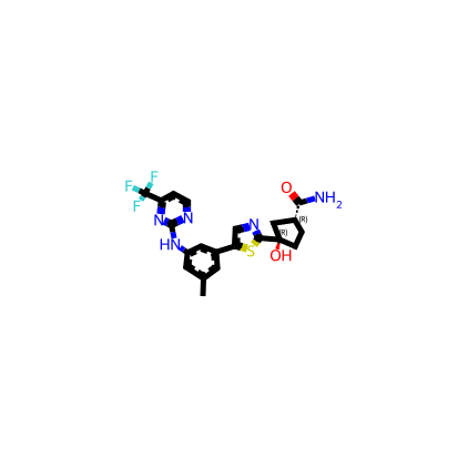 Cc1cc(Nc2nccc(C(F)(F)F)n2)cc(-c2cnc([C@@]3(O)CC[C@@H](C(N)=O)C3)s2)c1